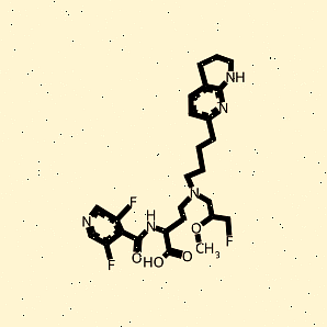 COC(CF)CN(CCCCc1ccc2c(n1)NCCC2)CCC(NC(=O)c1c(F)cncc1F)C(=O)O